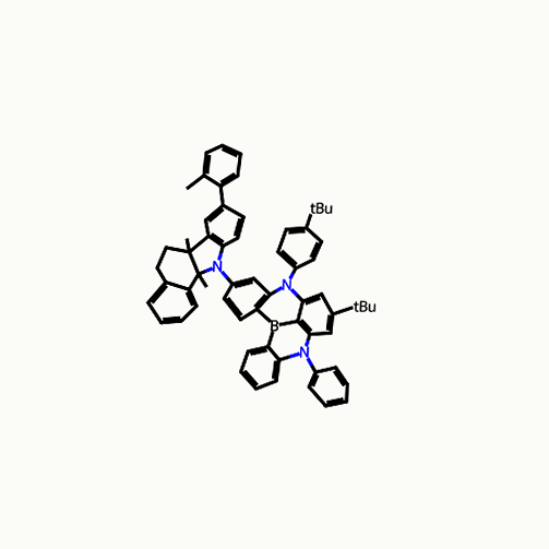 Cc1ccccc1-c1ccc2c(c1)C1(C)CCc3ccccc3C1(C)N2c1ccc2c(c1)N(c1ccc(C(C)(C)C)cc1)c1cc(C(C)(C)C)cc3c1B2c1ccccc1N3c1ccccc1